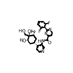 C[C@@H]1C[C@H](c2ccncc2NC(=O)c2ccnc(-c3c(F)cccc3F)n2)C[C@H](O)[C@]1(O)CO